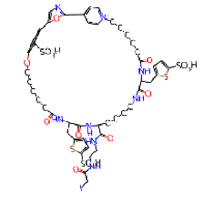 O=C(CI)NCCNC(=O)C1CCCCNC(=O)C(Cc2ccc(S(=O)(=O)O)s2)NC(=O)CCCCC[n+]2ccc(cc2)-c2ncc(o2)-c2ccc(c(S(=O)(=O)O)c2)OCCCCCC(=O)NC(Cc2ccc(S(=O)(=O)O)s2)C(=O)N1